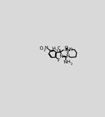 C[C@@]1(c2cc([N+](=O)[O-])ccc2F)C[S@]2(=O)=NCCCCN2C(N)=N1